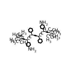 CC(C)[Si](C#CC(=C=C=C(C#CC(=C=C=C(C#C[Si](C(C)C)(C(C)C)C(C)C)c1ccc(N)cc1)c1ccccc1)c1ccccc1)c1ccc(N)cc1)(C(C)C)C(C)C